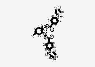 [CH2]C1CCC([CH2])(OOC(=O)c2ccc([Si](C)(C=C)C=C)cc2)C(OOC(=O)c2ccc([Si](C)(C=C)C=C)cc2)C1